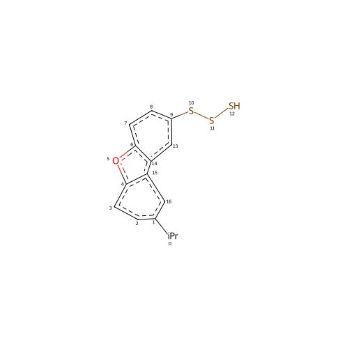 CC(C)c1ccc2oc3ccc(SSS)cc3c2c1